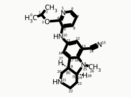 CC(C)Oc1ncccc1Nc1cc(C#N)c2c(c1)[C@@H]1CNCC[C@@H]1N2C